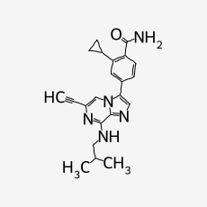 C#Cc1cn2c(-c3ccc(C(N)=O)c(C4CC4)c3)cnc2c(NCC(C)C)n1